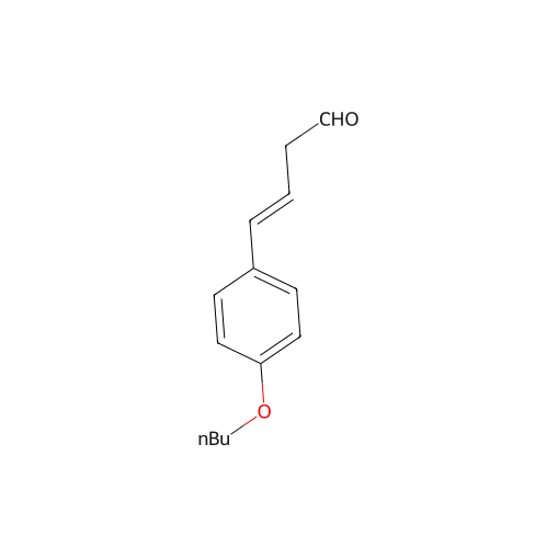 CCCCOc1ccc(C=CCC=O)cc1